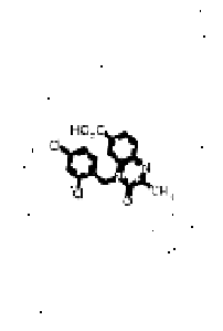 Cc1nc2ccc(C(=O)O)cc2n(Cc2ccc(Cl)cc2Cl)c1=O